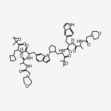 CC(NC(=O)CN1CCOCC1)C(=O)NC(Cc1ccc2ccn(C3CCCC3CC(NC(=O)C(Cc3ccc4[nH]ccc4c3)NC(=O)C(C)NC(=O)CN3CCOCC3)C(=O)C3(C)CO3)c2c1)C(=O)NC(CC1CCCC1)C(=O)C1(C)CO1